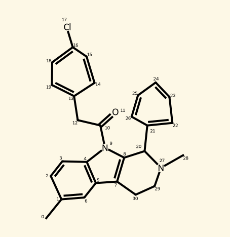 Cc1ccc2c(c1)c1c(n2C(=O)Cc2ccc(Cl)cc2)C(c2ccccc2)N(C)CC1